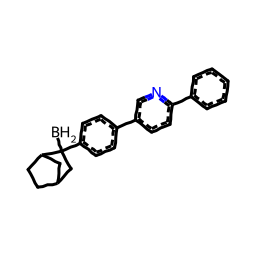 BC1(c2ccc(-c3ccc(-c4ccccc4)nc3)cc2)CC2CCC1C2